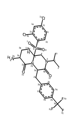 CC(C)N1CC2(S(=O)(=O)c3ccc(Cl)cc3Cl)NCC(N)C(=O)N2C(Cc2ccc(C(F)(F)F)cc2)C1=O